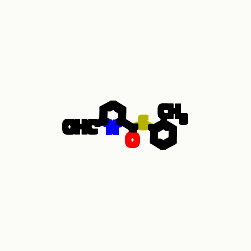 Cc1ccccc1SC(=O)c1cccc(C=O)n1